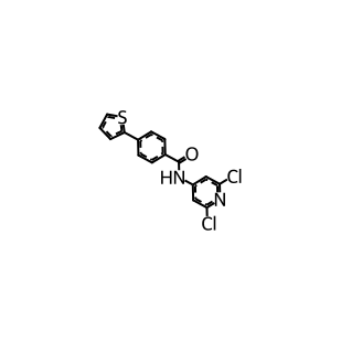 O=C(Nc1cc(Cl)nc(Cl)c1)c1ccc(-c2cccs2)cc1